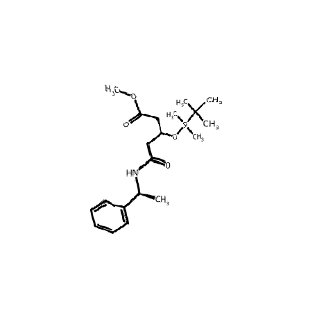 COC(=O)C[C@H](CC(=O)N[C@@H](C)c1ccccc1)O[Si](C)(C)C(C)(C)C